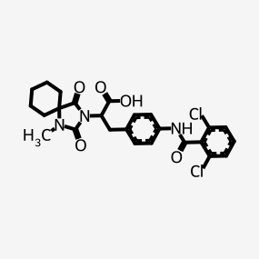 CN1C(=O)N(C(Cc2ccc(NC(=O)c3c(Cl)cccc3Cl)cc2)C(=O)O)C(=O)C12CCCCC2